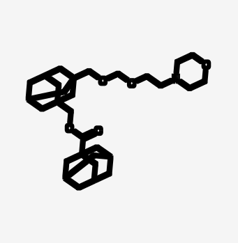 O=C(OCC12CC3CC(CC(COCOCCN4CCOCC4)(C3)C1)C2)C12CC3CC(CC(C3)C1)C2